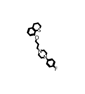 Fc1ccc(N2CCN(CCCOc3cccc4c3SCCC4)CC2)cc1